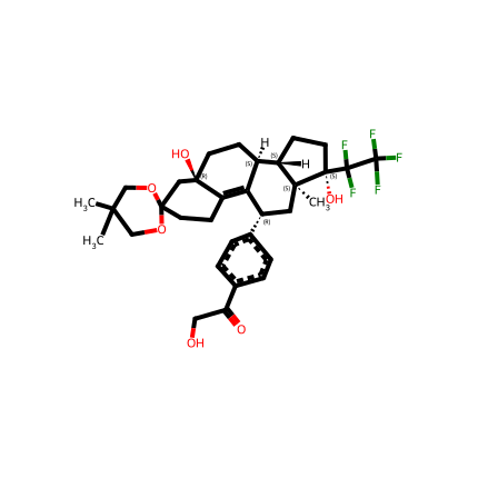 CC1(C)COC2(CCC3=C4[C@@H](CC[C@@]3(O)C2)[C@@H]2CC[C@@](O)(C(F)(F)C(F)(F)F)[C@@]2(C)C[C@@H]4c2ccc(C(=O)CO)cc2)OC1